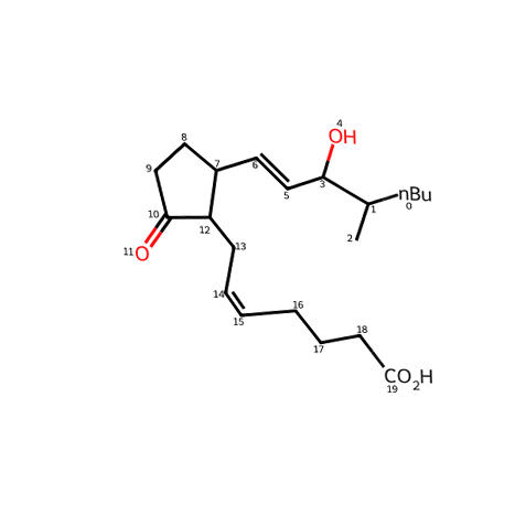 CCCCC(C)C(O)/C=C/C1CCC(=O)C1C/C=C\CCCC(=O)O